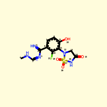 CN/C=N\C(=N)c1ccc(O)c(N2CC(=O)NS2(=O)=O)c1F